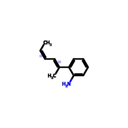 C/C=C\C=C(/C)c1ccccc1N